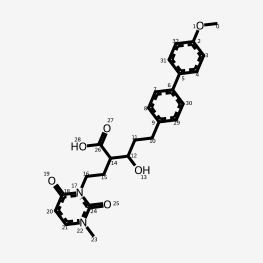 COc1ccc(-c2ccc(CCC(O)C(CCn3c(=O)ccn(C)c3=O)C(=O)O)cc2)cc1